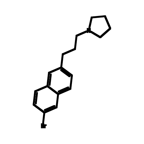 Brc1ccc2cc(CCCN3CCCC3)ccc2c1